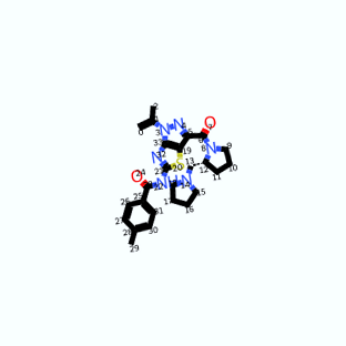 C=C(C)n1nc(C(=O)N2CCC[C@@H]2CN2CCCC2)c2sc(NC(=O)c3ccc(C)cc3)nc21